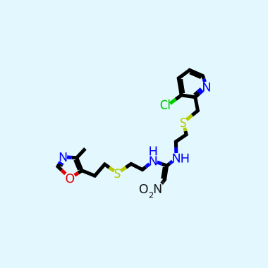 Cc1ncoc1CCSCCN/C(=C\[N+](=O)[O-])NCCSCc1ncccc1Cl